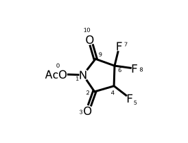 CC(=O)ON1C(=O)C(F)C(F)(F)C1=O